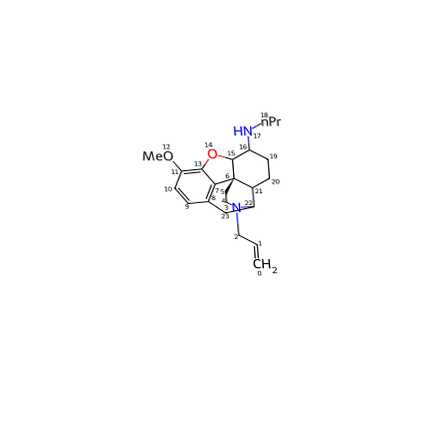 C=CCN1CC[C@@]23c4c5ccc(OC)c4OC2C(NCCC)CCC3C1C5